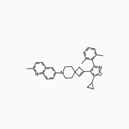 Cc1ccc2cc(N3CCC4(C=C(c5c(-c6c(C)cccc6C)noc5C5CC5)C4)CC3)ccc2n1